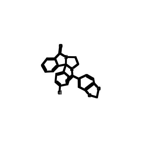 O=C(c1ccc2c(c1)OCO2)N1CCN2C(=O)c3ccccc3C12c1ccc(Cl)cc1